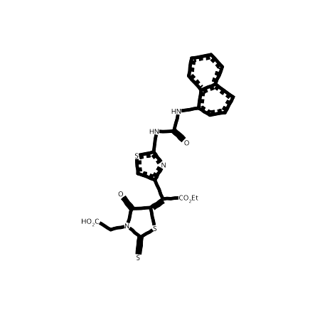 CCOC(=O)/C(=C1\SC(=S)N(CC(=O)O)C1=O)c1csc(NC(=O)Nc2cccc3ccccc23)n1